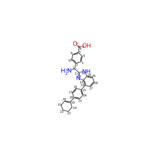 NC(c1ccc(C(=O)O)cc1)c1nc2c(-c3ccc(C4=CCCCC4)cc3)cccc2[nH]1